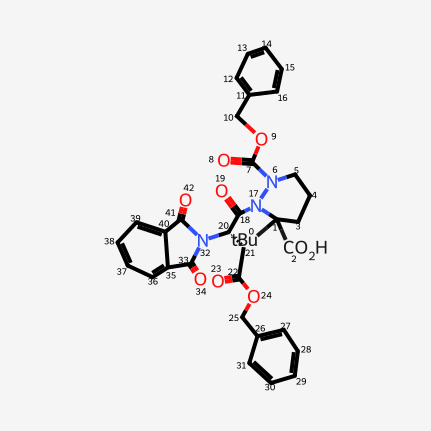 CC(C)(C)C1(C(=O)O)CCCN(C(=O)OCc2ccccc2)N1C(=O)[C@H](CC(=O)OCc1ccccc1)N1C(=O)c2ccccc2C1=O